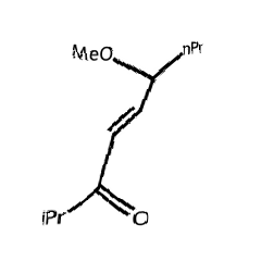 CCCC(C=CC(=O)C(C)C)OC